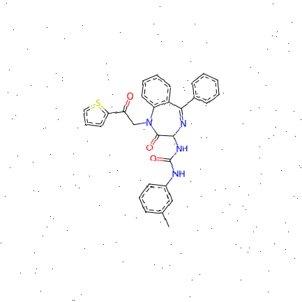 Cc1cccc(NC(=O)NC2N=C(c3ccccc3)c3ccccc3N(CC(=O)c3cccs3)C2=O)c1